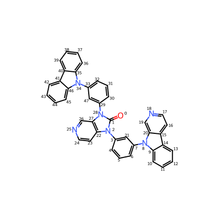 O=c1n(-c2cccc(-n3c4ccccc4c4ccncc43)c2)c2ccncc2n1-c1cccc(-n2c3ccccc3c3ccccc32)c1